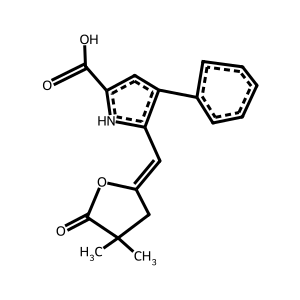 CC1(C)CC(=Cc2[nH]c(C(=O)O)cc2-c2ccccc2)OC1=O